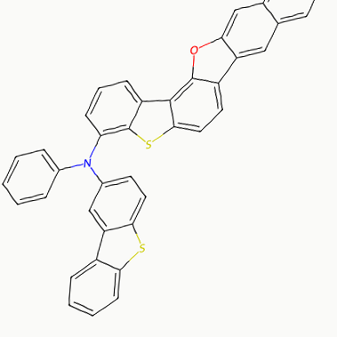 c1ccc(N(c2ccc3sc4ccccc4c3c2)c2cccc3c2sc2ccc4c5cc6ccccc6cc5oc4c23)cc1